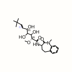 CO[C@@H](C(=O)NC1CCc2ccccc2N(C)C1=O)C(O)C(O)[C@H](O)/C=C/C(C)(C)C